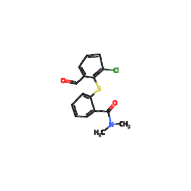 CN(C)C(=O)c1ccccc1Sc1c(Cl)cccc1C=O